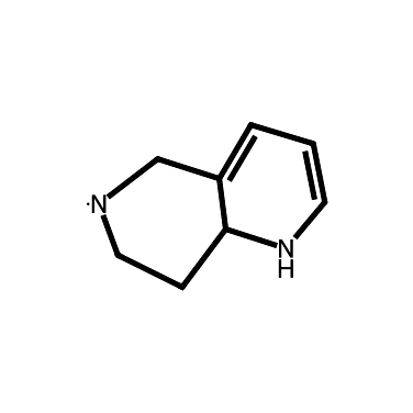 C1=CNC2CC[N]CC2=C1